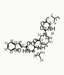 CC(=O)[C@H](CC(C)C)NC(=O)N1CC(=O)[C@@H](NC(=O)[C@H](CC(C)C)NC(=O)c2cc3ccccc3o2)CC[C@H]1C